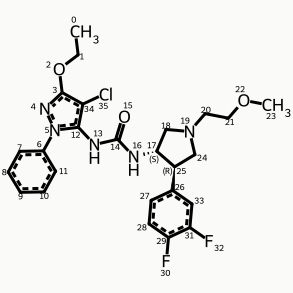 CCOc1nn(-c2ccccc2)c(NC(=O)N[C@@H]2CN(CCOC)C[C@H]2c2ccc(F)c(F)c2)c1Cl